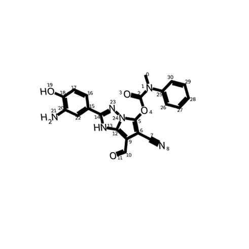 CN(C(=O)Oc1c(C#N)c(C=O)c2[nH]c(-c3ccc(O)c(N)c3)nn12)c1ccccc1